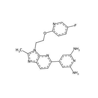 Cc1nc2ccc(-c3cc(N)nc(N)c3)nc2n1CCOc1ccc(F)cn1